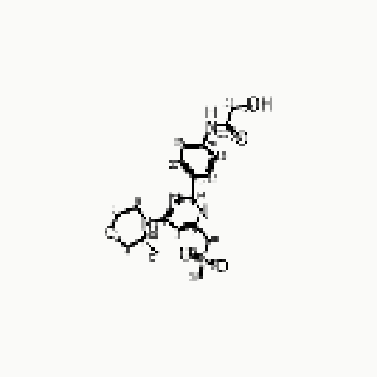 C[C@H]1COCCN1c1cc(CS(C)(=O)=O)nc(-c2ccc(NC(=O)CO)cc2)n1